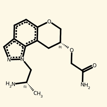 C[C@H](N)Cn1ncc2ccc3c(c21)C[C@@H](OCC(N)=O)CO3